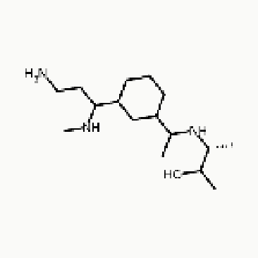 CNC(CCN)C1CCCC(C(C)N[C@H](C)C(C)O)C1